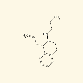 C=CC[C@H]1c2ccccc2CC[C@@H]1NCCC